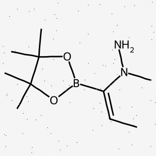 C/C=C(/B1OC(C)(C)C(C)(C)O1)N(C)N